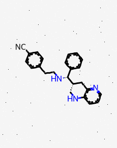 N#Cc1ccc(CCN[C@H](c2ccccc2)[C@H]2CNc3cccnc3C2)cc1